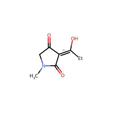 CC/C(O)=C1/C(=O)CN(C)C1=O